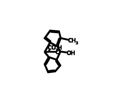 Cc1cccc2c1C1(O)CC(C(=O)O)C2c2ccccc21